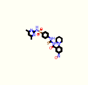 Cc1cc(C)nc(NS(=O)(=O)c2ccc(NC(=S)NC(=O)c3cc(N=O)ccc3N3CCCCC3)cc2)n1